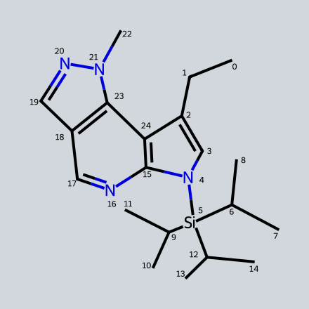 CCc1cn([Si](C(C)C)(C(C)C)C(C)C)c2ncc3cnn(C)c3c12